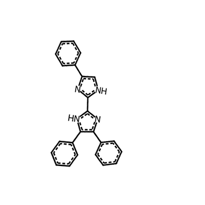 c1ccc(-c2c[nH]c(-c3nc(-c4ccccc4)c(-c4ccccc4)[nH]3)n2)cc1